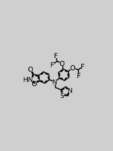 O=c1[nH]oc2cc(N(Cc3cncs3)c3ccc(OC(F)F)c(OC(F)F)c3)ccc12